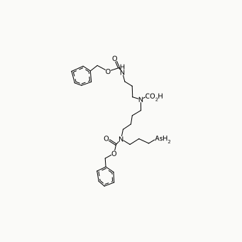 O=C(NCCCN(CCCCN(CCC[AsH2])C(=O)OCc1ccccc1)C(=O)O)OCc1ccccc1